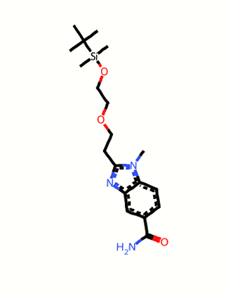 Cn1c(CCOCCO[Si](C)(C)C(C)(C)C)nc2cc(C(N)=O)ccc21